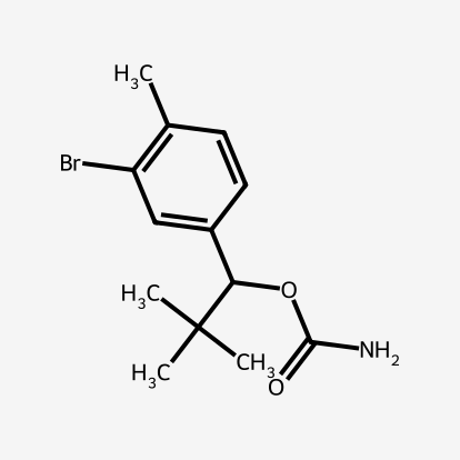 Cc1ccc(C(OC(N)=O)C(C)(C)C)cc1Br